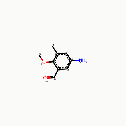 COc1c(C)cc(N)cc1C=O